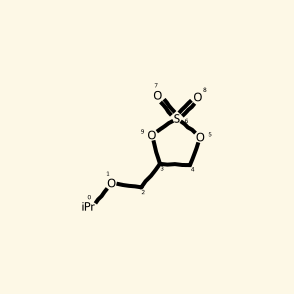 CC(C)OCC1COS(=O)(=O)O1